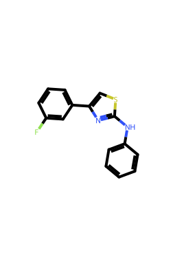 Fc1cccc(-c2csc(Nc3ccccc3)n2)c1